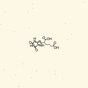 O=C(O)CCCC(C(=O)O)c1nc2[nH]c(=O)[nH]c(=O)c2[nH]1